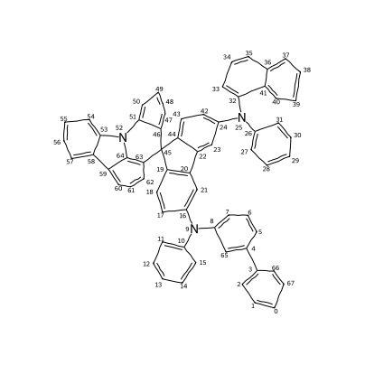 c1ccc(-c2cccc(N(c3ccccc3)c3ccc4c(c3)-c3cc(N(c5ccccc5)c5cccc6ccccc56)ccc3C43c4ccccc4-n4c5ccccc5c5cccc3c54)c2)cc1